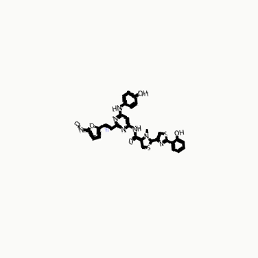 CN1C(C(=O)Nc2cc(Nc3ccc(O)cc3)nc(/C=C/c3ccc(N=O)o3)n2)CSC1c1csc(-c2ccccc2O)n1